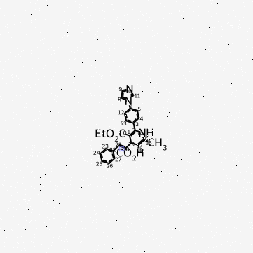 CCOC(=O)C1=C(c2ccc(-n3ccnc3)cc2)NC(C)=C(C(=O)O)C1/C=C/c1ccccc1